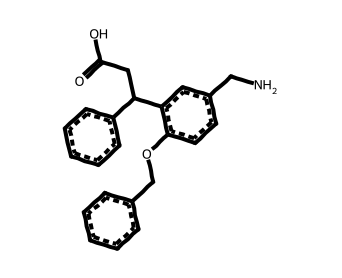 NCc1ccc(OCc2ccccc2)c(C(CC(=O)O)c2ccccc2)c1